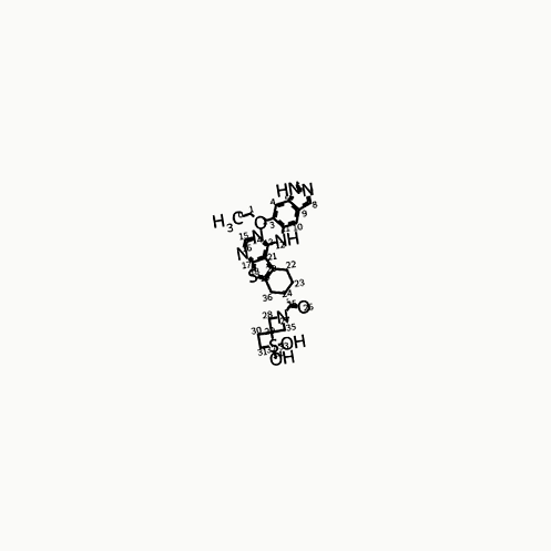 CCOc1cc2[nH]ncc2cc1Nc1ncnc2sc3c(c12)CC[C@H](C(=O)N1CC2(CCS2(O)O)C1)C3